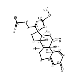 CCCCOC(=O)O[C@]1(C(=O)COC(=O)CC)CC[C@H]2[C@@H]3CCC4=CC(=O)C=C[C@]4(C)[C@H]3C(=O)C[C@@]21C